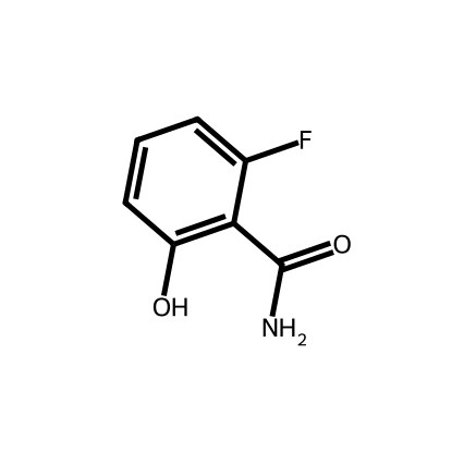 NC(=O)c1c(O)cccc1F